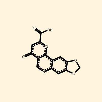 O=C(O)c1cc(=O)c2cnc3cc4c(cc3c2o1)OCO4